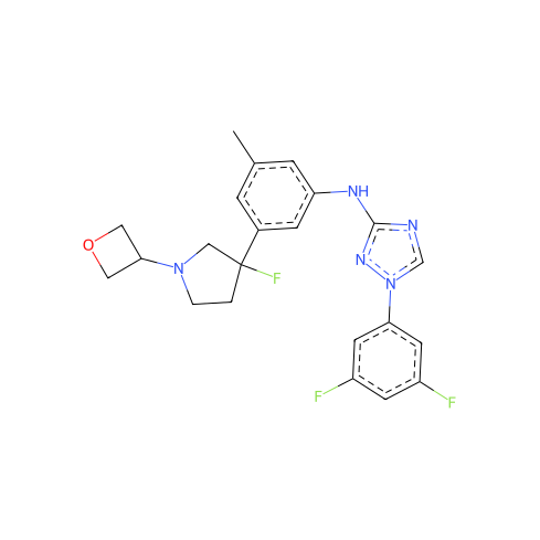 Cc1cc(Nc2ncn(-c3cc(F)cc(F)c3)n2)cc(C2(F)CCN(C3COC3)C2)c1